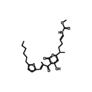 CCCCCCc1ccc(/C=C(\C)C(=O)c2c(O)cc(C(C)CC/C=C/NC(=O)OC)oc2=O)s1